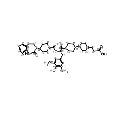 Bc1cc(C[C@@H](OC(=O)N2CCC(N3CCc4ccccc4NC3=O)CC2)C(=O)N2CCC(N3CCN(CCC(=O)O)CC3)CC2)cc(C)c1O